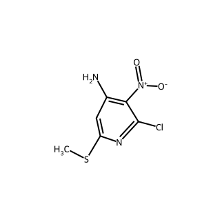 CSc1cc(N)c([N+](=O)[O-])c(Cl)n1